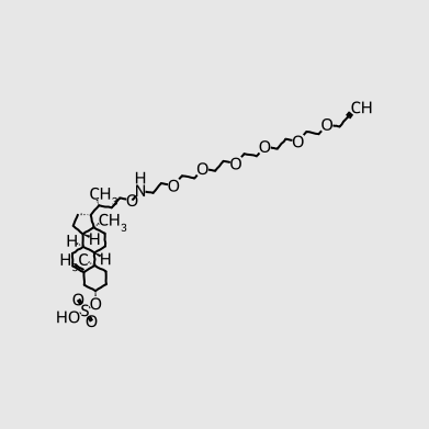 C#CCOCCOCCOCCOCCOCCOCCNOCC[C@@H](C)[C@H]1CC[C@H]2[C@@H]3CC=C4C[C@@H](OS(=O)(=O)O)CC[C@]4(C)[C@H]3CC[C@]12C